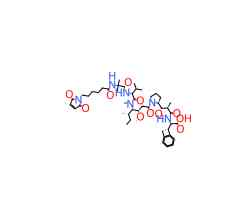 CC[C@H](C)[C@@H]([C@@H](CC(=O)N1CCC[C@H]1[C@H](OC)[C@@H](C)C(=O)N[C@@H](C(=O)O)[C@H]1Cc2ccccc21)OC)N(C)C(=O)[C@@H](NC(=O)C(C)(C)NC(=O)CCCCCN1C(=O)C=CC1=O)C(C)C